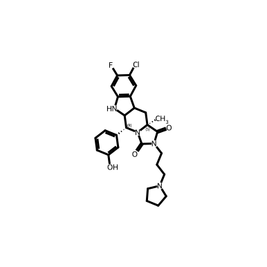 C[C@@]12CC3c4cc(Cl)c(F)cc4NC3[C@@H](c3cccc(O)c3)N1C(=O)N(CCCN1CCCC1)C2=O